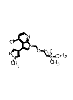 Cn1cc(-c2cn(COCC[Si](C)(C)C)c3nccc(Cl)c23)cn1